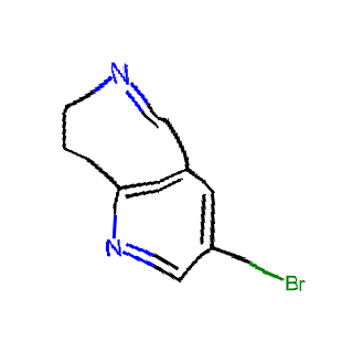 Brc1cnc2c(c1)C=NCC2